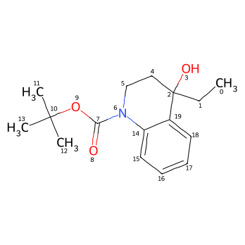 CCC1(O)CCN(C(=O)OC(C)(C)C)c2ccccc21